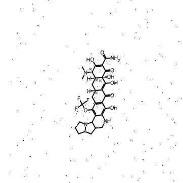 CN(C)[C@H]1C(O)=C(C(N)=O)C(=O)[C@]2(O)C(O)=C3C(=O)c4c(O)c5c(c(OC(F)(F)F)c4C[C@@H]3C[C@H]12)C1C(CN5)CC2CCCN21